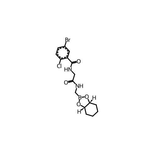 O=C(CNC(=O)c1cc(Br)ccc1Cl)NCB1O[C@H]2CCCC[C@H]2O1